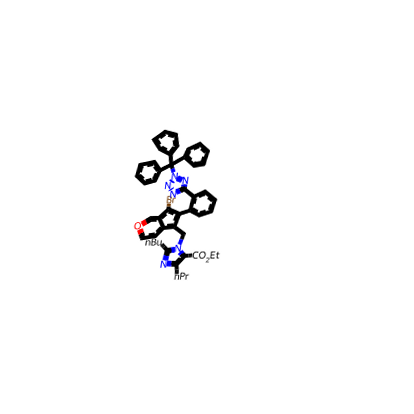 CCCCc1nc(CCC)c(C(=O)OCC)n1Cc1c2ccocc-2c(Br)c1-c1ccccc1-c1nnn(C(c2ccccc2)(c2ccccc2)c2ccccc2)n1